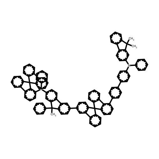 CC1(C)c2ccccc2-c2ccc(N(c3ccccc3)c3ccc(-c4ccc(-c5cccc6c5-c5ccccc5C65c6ccccc6-c6cc(-c7ccc8c(c7)-c7ccc(N(c9ccccc9)c9cccc%10c9C9(c%11ccccc%11-c%11ccccc%119)c9ccccc9-%10)cc7C8(C)c7ccccc7)ccc65)cc4)cc3)cc21